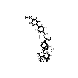 C=C(/C=C\C(=C/C)C(=O)NCc1ccc(-c2ccc(O)cc2)cc1)Oc1ccccc1C(=O)NC